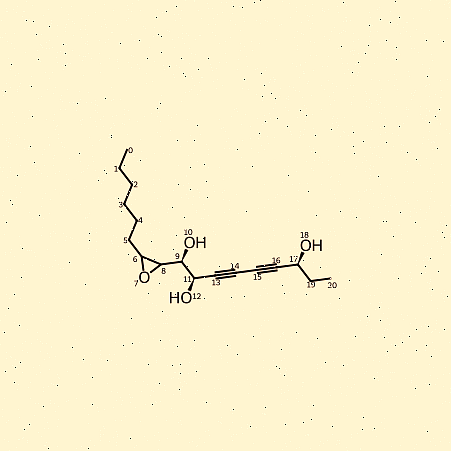 CCCCCCC1OC1[C@@H](O)[C@H](O)C#CC#C[C@@H](O)CC